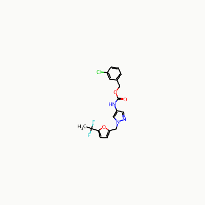 CC(F)(F)c1ccc(Cn2cc(NC(=O)OCc3cccc(Cl)c3)cn2)o1